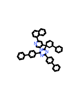 C1=CC(c2ccnc(-c3cccc4ccccc34)c2)(c2nc(-c3ccc(-c4ccccc4)cc3)nc(-c3ccc(-c4ccccc4)cc3)n2)CC(c2ccccc2)=C1